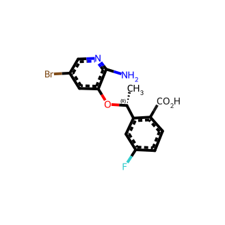 C[C@@H](Oc1cc(Br)cnc1N)c1cc(F)ccc1C(=O)O